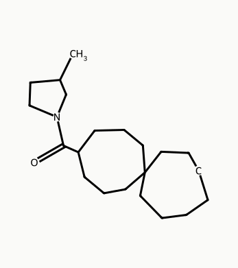 CC1CCN(C(=O)C2CCCC3(CCCCCCC3)CCC2)C1